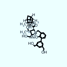 COc1c(CN2O[C@@H](CO)[C@H]([C@H](C)O)[C@H]2C(=O)N[C@H]2C[C@H]3C[C@@H]([C@@H]2C)C3(C)C)cccc1-c1cc(CO)cc(CO)c1